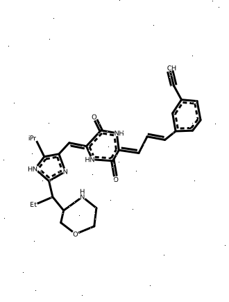 C#Cc1cccc(C=CC=c2[nH]c(=O)c(=Cc3nc(C(CC)C4COCCN4)[nH]c3C(C)C)[nH]c2=O)c1